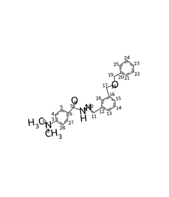 CN(C)c1ccc(C(=O)N/N=C/c2cccc(COCc3ccccc3)c2)cc1